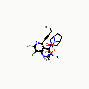 CCC#Cc1nc(Cl)c(F)c2nc(Cl)nc(N3CC4CCC(C3)N4C(=O)OC(C)(C)C)c12